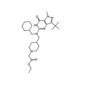 CCOC(=O)CN1CCC(CN(CC2CCCCC2)c2nc3c(C(C)(C)C)nn(C)c3c(=O)[nH]2)CC1